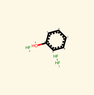 F.F.F.Oc1ccccc1